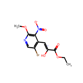 CCOC(=O)/C(O)=C/c1c(Br)cnc(OC)c1[N+](=O)[O-]